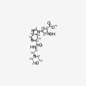 COC(=O)c1sc(-n2cnc3cnc(C(=O)NCCN4CCOCC4)cc32)cc1O